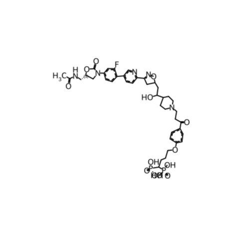 CC(=O)NC[C@H]1CN(c2ccc(-c3ccc(C4=NOC(CC(O)C5CCN(CCC(=O)c6ccc(OCCCC(P(=O)(O)O)P(=O)(O)O)cc6)CC5)C4)nc3)c(F)c2)C(=O)O1